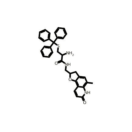 Cc1cc2c(c3ccc(=O)[nH]c13)OC(CNC(=O)C(N)CSC(c1ccccc1)(c1ccccc1)c1ccccc1)C2